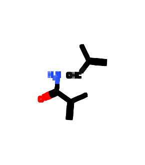 C=C(C)C(N)=O.C=C(C)C=O